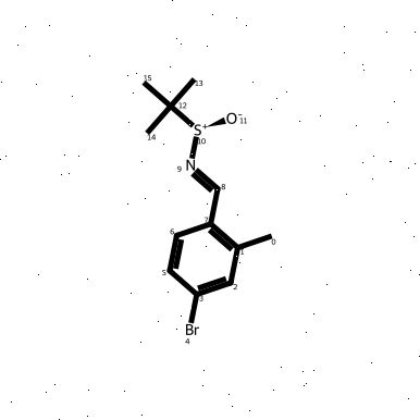 Cc1cc(Br)ccc1C=N[S@+]([O-])C(C)(C)C